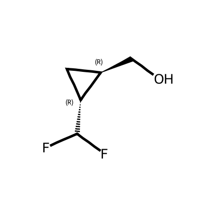 OC[C@@H]1C[C@H]1C(F)F